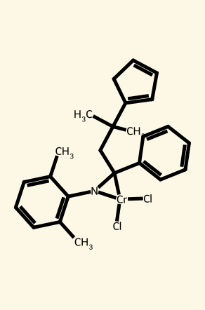 Cc1cccc(C)c1[N]1[C](CC(C)(C)C2=CC=CC2)(c2ccccc2)[Cr]1([Cl])[Cl]